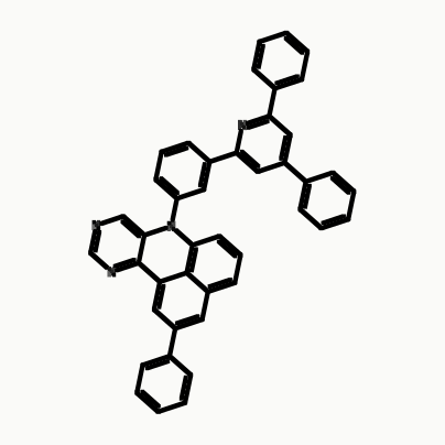 c1ccc(-c2cc(-c3ccccc3)nc(-c3cccc(N4c5cncnc5-c5cc(-c6ccccc6)cc6cccc4c56)c3)c2)cc1